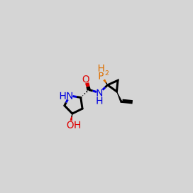 C=C[C@@H]1C[C@@]1(P)NC(=O)[C@@H]1C[C@@H](O)CN1